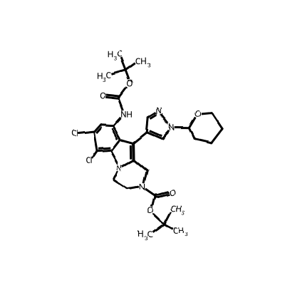 CC(C)(C)OC(=O)Nc1cc(Cl)c(Cl)c2c1c(-c1cnn(C3CCCCO3)c1)c1n2CCN(C(=O)OC(C)(C)C)C1